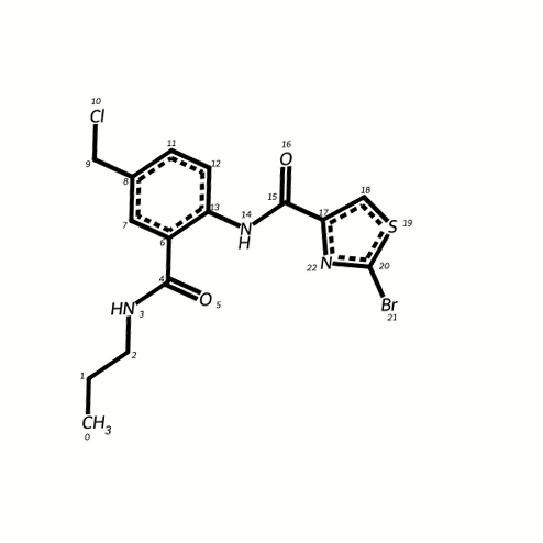 CCCNC(=O)c1cc(CCl)ccc1NC(=O)c1csc(Br)n1